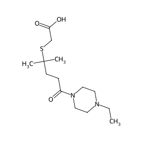 CCN1CCN(C(=O)CCC(C)(C)SCC(=O)O)CC1